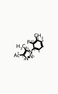 CC(=O)c1nnn(-c2cccc(C)c2F)c1C